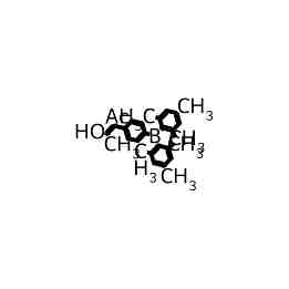 CC(=O)/C(=C(/C)O)c1ccc(B(c2c(C)cc(C)cc2C)c2c(C)cc(C)cc2C)cc1